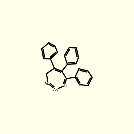 c1ccc(C2=[As][As]=[As]CC(c3ccccc3)=C2c2ccccc2)cc1